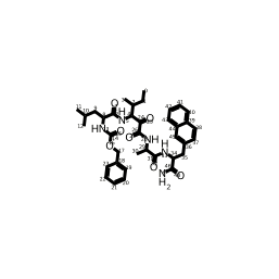 CCC(C)C(NC(=O)C(CC(C)C)NC(=O)OCc1ccccc1)C(=O)C(=O)NC(C)C(=O)NC(Cc1ccc2ccccc2c1)C(N)=O